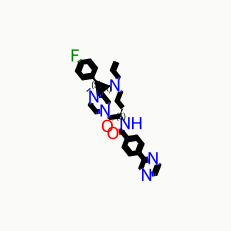 C=CCN(CCC[C@H](NC(=O)c1ccc(-c2cnccn2)cc1)C(=O)N1CCN(C)CC1)[C@@H]1C[C@H]1c1ccc(F)cc1